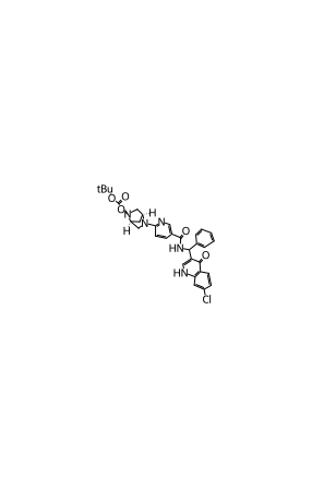 CC(C)(C)OC(=O)ON1C[C@@H]2C[C@H]1CN2c1ccc(C(=O)NC(c2ccccc2)c2c[nH]c3cc(Cl)ccc3c2=O)cn1